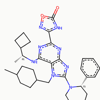 CC1CCC(Cn2c(N3CCCC[C@H]3c3ccccc3)nc3nc(-c4noc(=O)[nH]4)nc(N[C@H](C)C4CCC4)c32)CC1